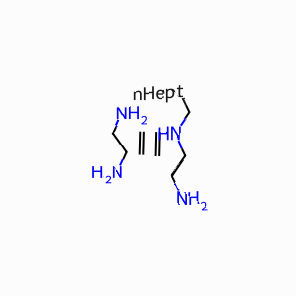 C=C.C=C.CCCCCCCCNCCN.NCCN